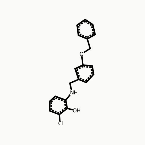 Oc1c(Cl)cccc1NCc1cccc(OCc2ccccc2)c1